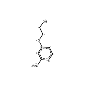 COc1[c]c(OCCO)ccc1